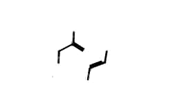 C=C(CC(=O)O)C(=O)O.CC=CC(=O)O.[AlH3].[AlH3]